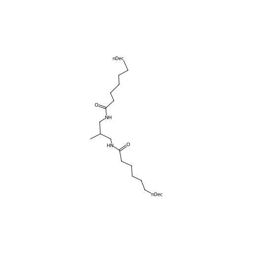 CCCCCCCCCCCCCCCC(=O)NCC(C)CNC(=O)CCCCCCCCCCCCCCC